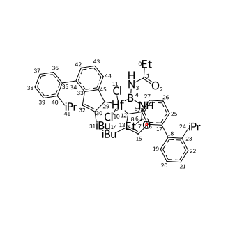 CCC(=O)N[B](NC(=O)CC)[Hf]([Cl])([Cl])([CH]1C(C(C)CC)=Cc2c(-c3ccccc3C(C)C)cccc21)[CH]1C(C(C)CC)=Cc2c(-c3ccccc3C(C)C)cccc21